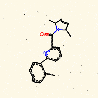 Cc1ccccc1-c1cccc(C(=O)N2C(C)C=CC2C)n1